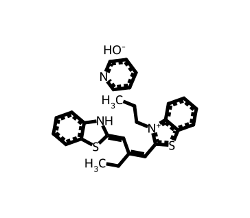 CCC[n+]1c(C=C(C=C2Nc3ccccc3S2)CC)sc2ccccc21.[OH-].c1ccncc1